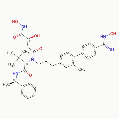 Cc1cc(CCCN(C(=O)C[C@H](O)C(=O)NO)[C@H](C(=O)N[C@H](C)c2ccccc2)C(C)(C)C)ccc1-c1ccc(C(=N)NO)cc1